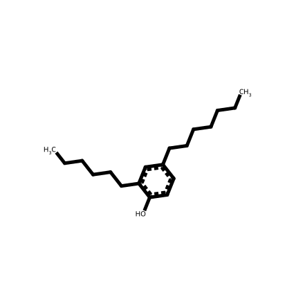 CCCCCCCc1ccc(O)c(CCCCCC)c1